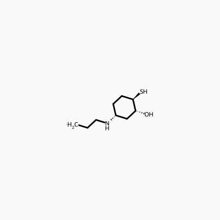 [CH2]CCN[C@@H]1CC[C@@H](S)[C@H](O)C1